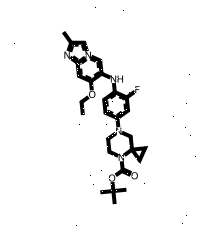 CCOc1cc2nc(C)cn2cc1Nc1ccc(N2CCN(C(=O)OC(C)(C)C)C3(CC3)C2)cc1F